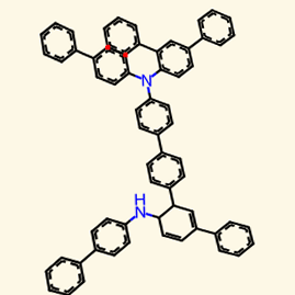 C1=CC(Nc2ccc(-c3ccccc3)cc2)C(c2ccc(-c3ccc(N(c4ccc(-c5ccccc5)cc4)c4ccc(-c5ccccc5)cc4-c4ccccc4)cc3)cc2)C=C1c1ccccc1